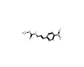 COC(=O)OC/C=C/c1ccc([N+](=O)[O-])cc1